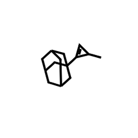 CC1C=C1C12CC3CC(CC(C3)C1)C2